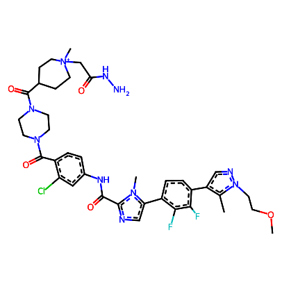 COCCn1ncc(-c2ccc(-c3cnc(C(=O)Nc4ccc(C(=O)N5CCN(C(=O)C6CC[N+](C)(CC(=O)NN)CC6)CC5)c(Cl)c4)n3C)c(F)c2F)c1C